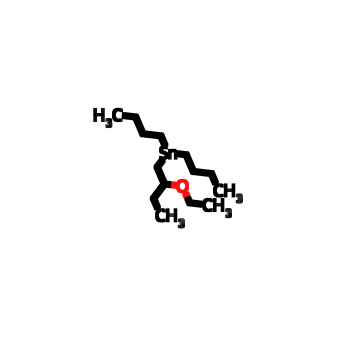 CCC[CH2][Sn]([CH2]CCC)[CH2]C(CC)OCC